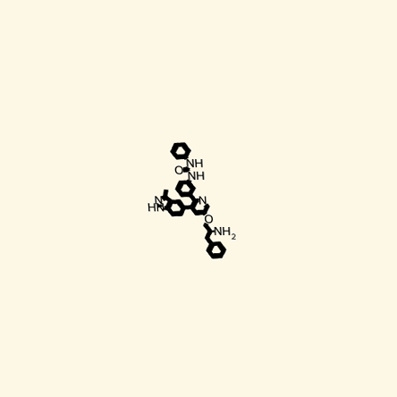 Cc1n[nH]c2ccc(-c3cc(OC[C@@H](N)Cc4ccccc4)cnc3-c3cccc(NC(=O)Nc4ccccc4)c3)cc12